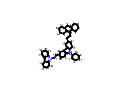 C(=C\c1c2ccccc2cc2ccccc12)/c1ccc2c(c1)c1cc(/C=C/n3c4ccccc4c4ccccc43)ccc1n2-c1ccccc1